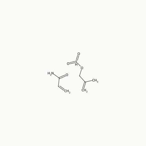 C=C(C)CO[SH](=O)=O.C=CC(N)=O